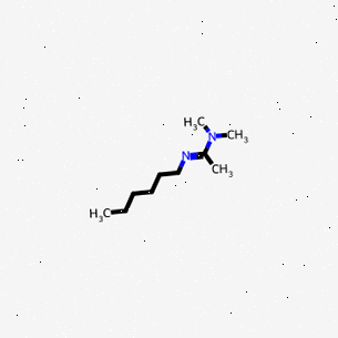 CCCCCC/N=C(\C)N(C)C